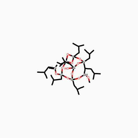 CC[Si]12O[Si](CC(C)C)(O/[Si](C)=C\C(C)C)O[Si]3(CC(C)C)O[SiH](OC)C(CC(C)C)[Si](CC(C)C)(O[Si](O)(CC(C)C)O3)O[Si](CC(C)C)(O1)O2